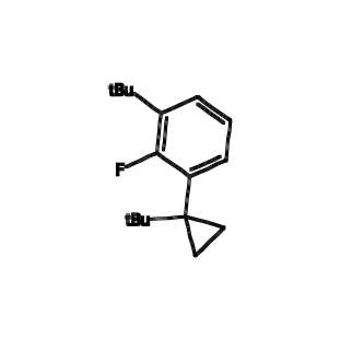 CC(C)(C)c1cccc(C2(C(C)(C)C)CC2)c1F